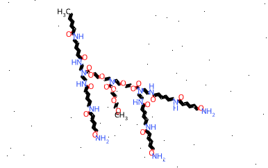 CCCCCCC(=O)NCCCCCC(=O)NCCN(CCNC(=O)CCCCCNC(=O)CCCCCON)C(=O)OCCOCCN(CCOCCOC(=O)N(CCNC(=O)CCCCCNC(=O)CCCCCON)CCNC(=O)CCCCCNC(=O)CCCCCON)C(=O)OCCOCCOC